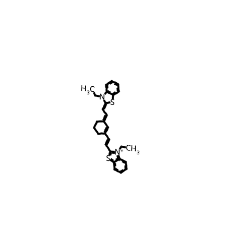 CCN1/C(=C/C=C2C=C(/C=C/c3sc4ccccc4[n+]3CC)CCC/2)Sc2ccccc21